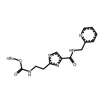 CCCCOC(=O)NCCc1nc(C(=O)NCc2ccccn2)cs1